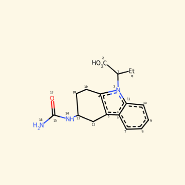 CCC(C(=O)O)n1c2c(c3ccccc31)CC(NC(N)=O)CC2